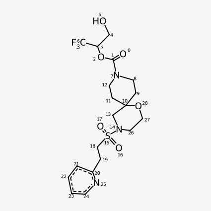 O=C(OC(CO)C(F)(F)F)N1CCC2(CC1)CN(S(=O)(=O)CCc1ccccn1)CCO2